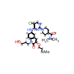 CNCCOc1cc2cc(Nc3nc(N4CCC(C(=O)N(C)C)CC4)ncc3Cl)ccc2n(CCCO)c1=O